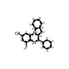 Fc1cc(Cl)cc2c1nc(-c1ccccc1)c1cc3ccccc3n12